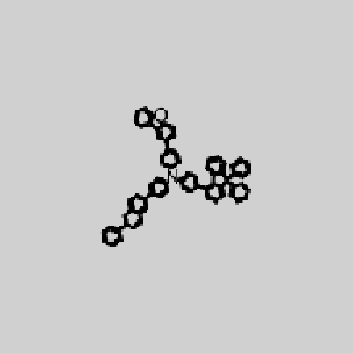 c1ccc(-c2ccc3cc(-c4ccc(N(c5ccc(-c6ccc7oc8ccccc8c7c6)cc5)c5ccc(-c6cccc7c6-c6ccccc6C7(c6ccccc6)c6ccccc6)cc5)cc4)ccc3c2)cc1